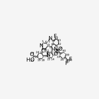 N#Cc1cncc(C#N)c1-c1c(-c2cccc(-c3ccc(C(=O)O)cc3Cl)c2)n(S(=O)(=O)c2ccc(C(F)F)cc2)c2ccc(F)cc12